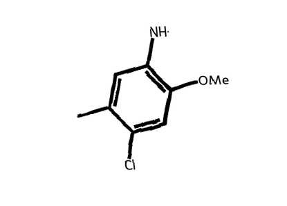 COc1cc(Cl)c(C)cc1[NH]